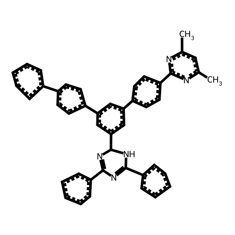 Cc1cc(C)nc(-c2ccc(-c3cc(-c4ccc(-c5ccccc5)cc4)cc(C4N=C(c5ccccc5)N=C(c5ccccc5)N4)c3)cc2)n1